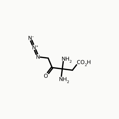 [N-]=[N+]=NCC(=O)C(N)(N)CC(=O)O